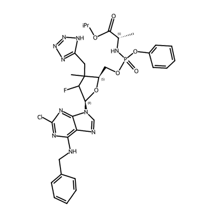 CC(C)OC(=O)[C@H](C)NP(=O)(OC[C@H]1O[C@@H](n2cnc3c(NCc4ccccc4)nc(Cl)nc32)C(F)C1(C)Cc1nnn[nH]1)Oc1ccccc1